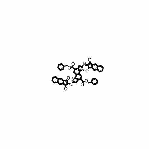 O=C(OCc1ccccc1)c1cc2c(cc(C(=O)OCc3ccccc3)c3cc(N=c4c(=O)c5cc6ccccc6cc5c4=O)sc32)c2sc(N=c3c(=O)c4cc5ccccc5cc4c3=O)cc12